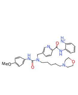 COc1ccc(NC(=O)N(CCCCCN2CCOCC2)Cc2ccc(C(=O)Nc3ccccc3N)nc2)cc1